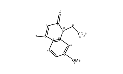 COc1ccc2c(C)cc(=O)n(CC(=O)O)c2c1